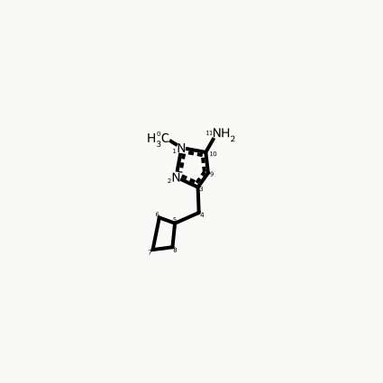 Cn1nc(CC2CCC2)cc1N